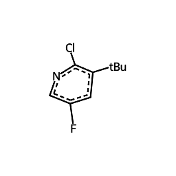 CC(C)(C)c1cc(F)cnc1Cl